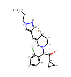 O=C(O)CCn1cc(/C=C2/CN(C(C(=O)C3CC3)c3ccccc3F)CCC2S)cn1